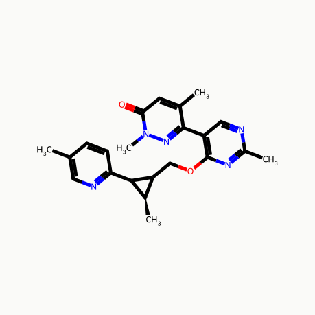 Cc1ccc(C2C(COc3nc(C)ncc3-c3nn(C)c(=O)cc3C)[C@H]2C)nc1